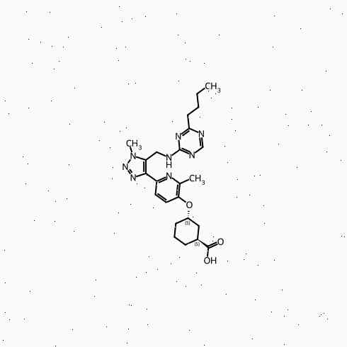 CCCCc1ncnc(NCc2c(-c3ccc(O[C@H]4CCC[C@H](C(=O)O)C4)c(C)n3)nnn2C)n1